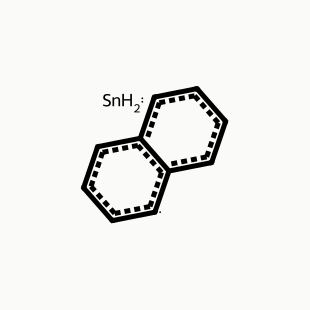 [SnH2].[c]1cccc2ccccc12